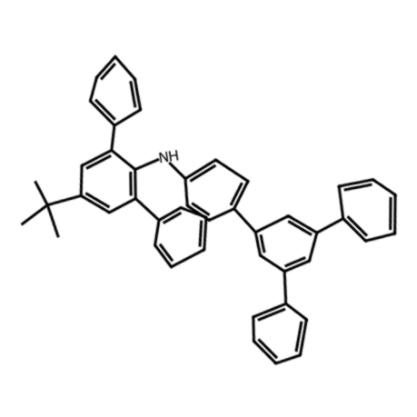 CC(C)(C)c1cc(-c2ccccc2)c(Nc2ccc(-c3cc(-c4ccccc4)cc(-c4ccccc4)c3)cc2)c(-c2ccccc2)c1